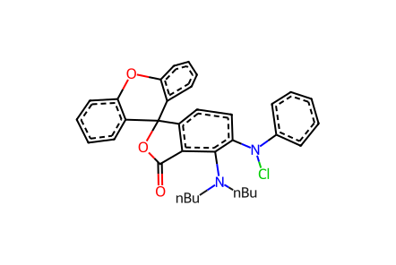 CCCCN(CCCC)c1c(N(Cl)c2ccccc2)ccc2c1C(=O)OC21c2ccccc2Oc2ccccc21